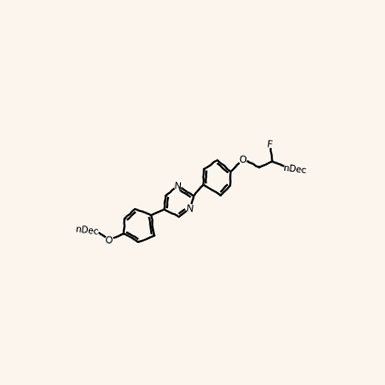 CCCCCCCCCCOc1ccc(-c2cnc(-c3ccc(OCC(F)CCCCCCCCCC)cc3)nc2)cc1